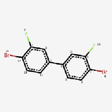 Fc1cc(-c2ccc(Br)c(F)c2)ccc1Br